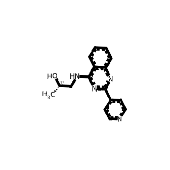 C[C@H](O)CNc1nc(-c2ccncc2)nc2ccccc12